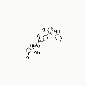 O=C(CN1Cc2ccc(-c3nc(NC4CCOCC4)ncc3Cl)cc2C1=O)NC(CO)c1cccc(C2CC2)c1